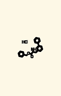 Cl.NC(Cc1cccc(-c2ccccc2)c1)C(=O)OCc1ccccc1